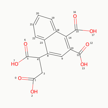 O=C(O)CC(C(=O)O)c1cc(C(=O)O)c(C(=O)O)c2ccccc12